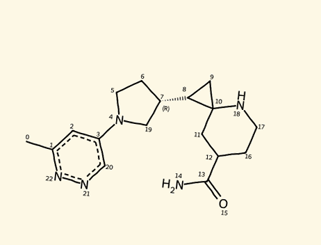 Cc1cc(N2CC[C@H](C3CC34CC(C(N)=O)CCN4)C2)cnn1